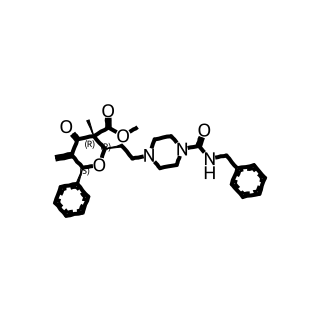 C=C1C(=O)[C@](C)(C(=O)OC)[C@@H](CCN2CCN(C(=O)NCc3ccccc3)CC2)O[C@H]1c1ccccc1